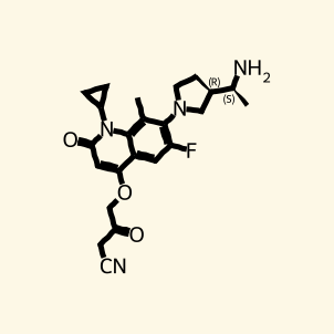 Cc1c(N2CC[C@@H]([C@H](C)N)C2)c(F)cc2c(OCC(=O)CC#N)cc(=O)n(C3CC3)c12